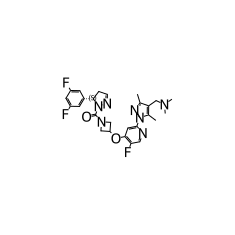 Cc1nn(-c2cc(OC3CN(C(=O)N4N=CC[C@H]4c4cc(F)cc(F)c4)C3)c(F)cn2)c(C)c1CN(C)C